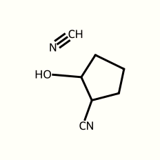 C#N.N#CC1CCCC1O